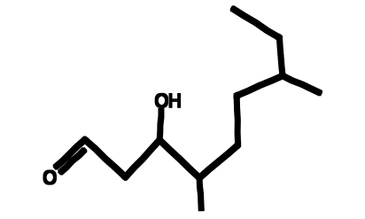 CCC(C)CCC(C)C(O)CC=O